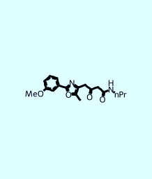 CCCNC(=O)CC(=O)Cc1nc(-c2cccc(OC)c2)oc1C